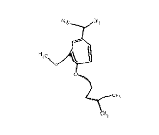 COc1cc(C(C)C)ccc1OCCC(C)C